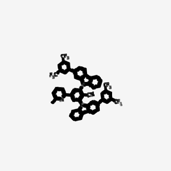 Cc1cccc(-c2cc(-n3c4ccccc4c4ccc(-c5cc(C(F)(F)F)cc(C(F)(F)F)c5)cc43)c(C#N)c(-n3c4ccccc4c4ccc(-c5cc(C(F)(F)F)cc(C(F)(F)F)c5)cc43)c2)n1